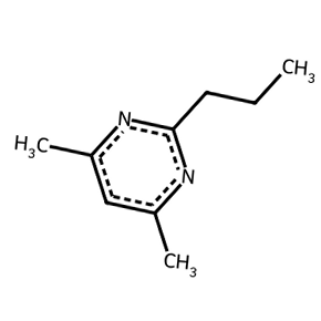 CCCc1nc(C)cc(C)n1